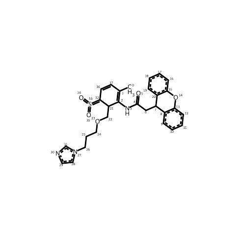 CC1=C(NC(=O)CC2c3ccccc3Oc3ccccc32)C(COCCCn2ccnc2)C(=S(=O)=O)C=C1